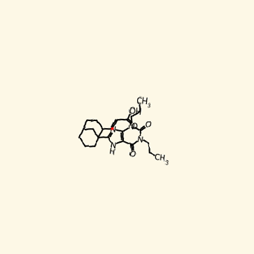 CCCn1c(=O)c2[nH]c(C34CCCC(CCC3C=CC(=O)O)C4)nc2n(CCC)c1=O